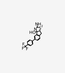 NC1=NC2(O)c3cc(-c4ccc(C(F)(F)F)cc4)ccc3CC2S1